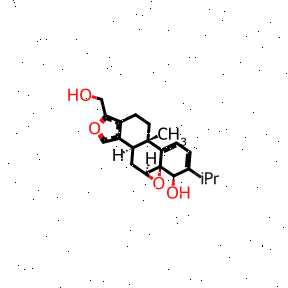 CC(C)C1=CC=C2[C@]3(O[C@H]3C[C@H]3c4coc(CO)c4CC[C@]23C)[C@@H]1O